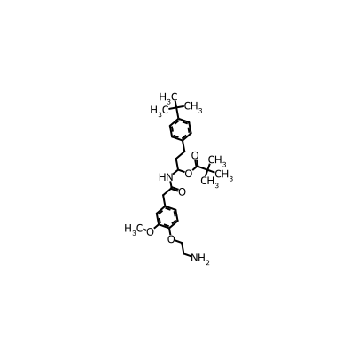 COc1cc(CC(=O)NC(CCc2ccc(C(C)(C)C)cc2)OC(=O)C(C)(C)C)ccc1OCCN